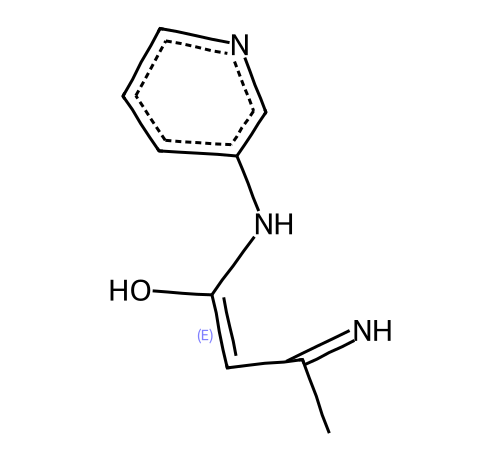 CC(=N)/C=C(/O)Nc1cccnc1